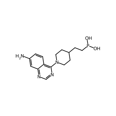 Nc1ccc2c(N3CCC(CCP(O)O)CC3)ncnc2c1